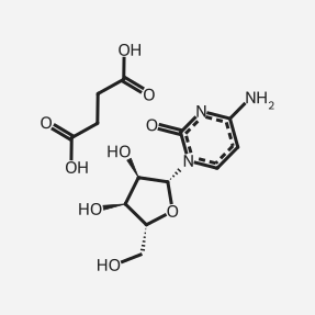 Nc1ccn([C@@H]2O[C@H](CO)[C@@H](O)[C@H]2O)c(=O)n1.O=C(O)CCC(=O)O